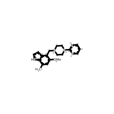 COc1cc(C)c2[nH]ccc2c1CN1CCN(c2ncccn2)CC1